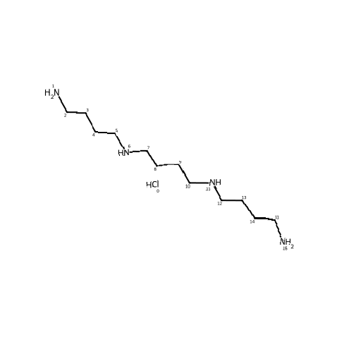 Cl.NCCCCNCCCCNCCCCN